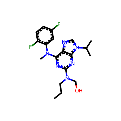 CCCN(CO)c1nc(N(C)c2cc(F)ccc2F)c2ncn(C(C)C)c2n1